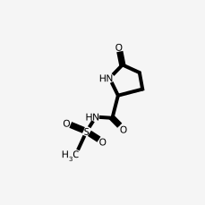 CS(=O)(=O)NC(=O)C1CCC(=O)N1